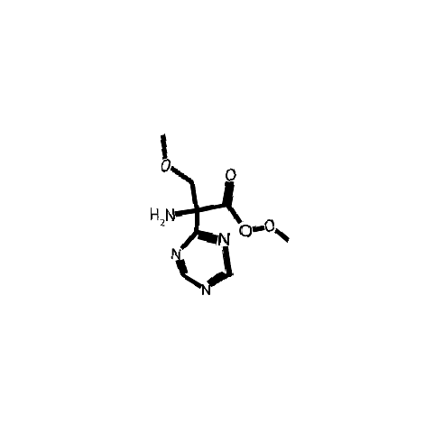 COCC(N)(C(=O)OOC)c1ncncn1